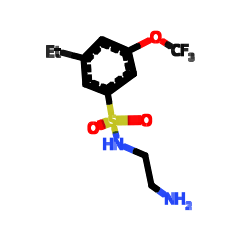 CCc1cc(OC(F)(F)F)cc(S(=O)(=O)NCCN)c1